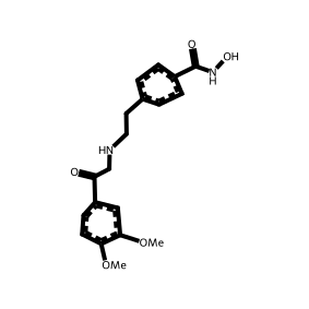 COc1ccc(C(=O)CNCCc2ccc(C(=O)NO)cc2)cc1OC